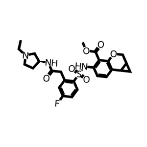 CCN1CC[C@H](NC(=O)Cc2cc(F)ccc2S(=O)(=O)Nc2ccc3c(c2C(=O)OC)OCC2CC32)C1